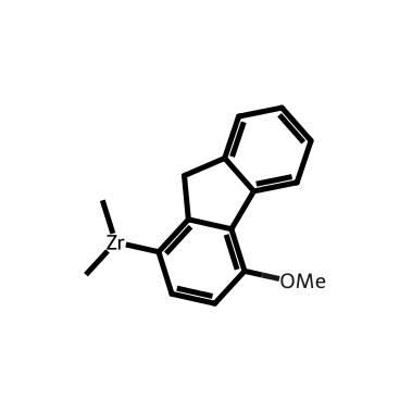 COc1cc[c]([Zr]([CH3])[CH3])c2c1-c1ccccc1C2